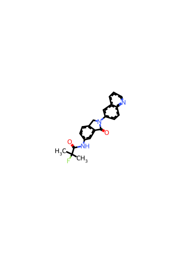 CC(C)(F)C(=O)Nc1ccc2c(c1)C(=O)N(c1ccc3ncccc3c1)C2